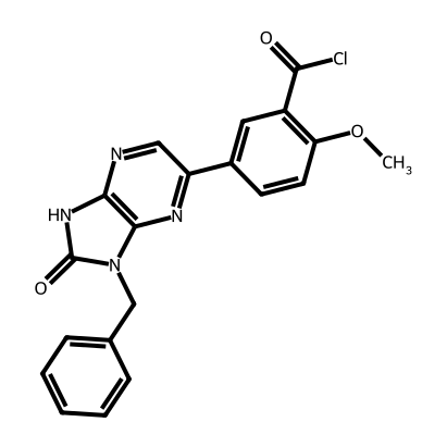 COc1ccc(-c2cnc3[nH]c(=O)n(Cc4ccccc4)c3n2)cc1C(=O)Cl